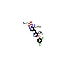 COc1c(Cc2cncc(Oc3ccc(Cl)cc3F)c2C)ccnc1NS(=O)(=O)SC